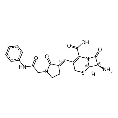 N[C@@H]1C(=O)N2C(C(=O)O)=C(/C=C3\CCN(CC(=O)Nc4ccccc4)C3=O)CS[C@H]12